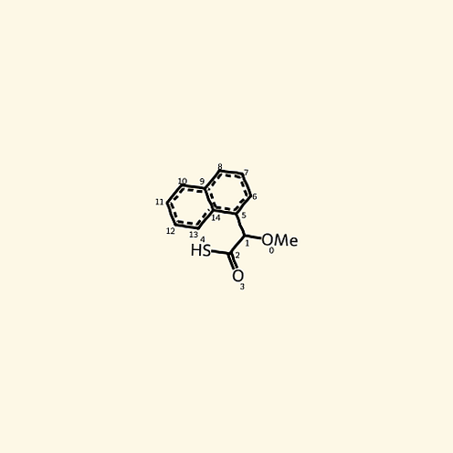 COC(C(=O)S)c1cccc2ccccc12